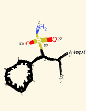 CCCCCCCC(CC)C(c1ccccc1)S(N)(=O)=O